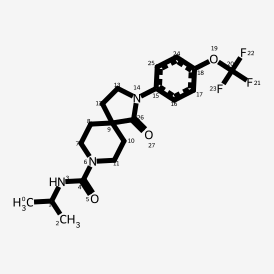 CC(C)NC(=O)N1CCC2(CC1)CCN(c1ccc(OC(F)(F)F)cc1)C2=O